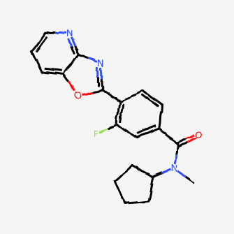 CN(C(=O)c1ccc(-c2nc3ncccc3o2)c(F)c1)C1CCCC1